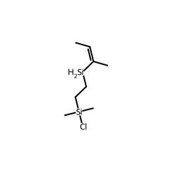 CC=C(C)[SiH2]CC[Si](C)(C)Cl